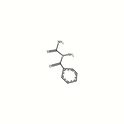 NC(=S)N(N)C(=O)c1ccccc1